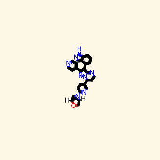 c1cc(-c2c(-c3ccncc3)nn3c(-c4ccc(N5C[C@@H]6C[C@H]5CO6)nc4)ccnc23)c2cn[nH]c2c1